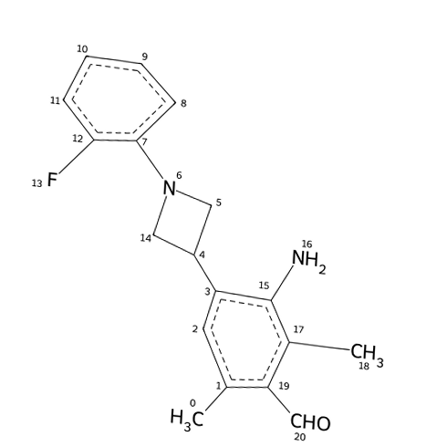 Cc1cc(C2CN(c3ccccc3F)C2)c(N)c(C)c1C=O